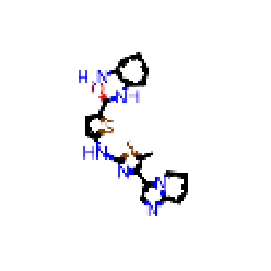 Cc1sc(Nc2ccc(C(=O)Nc3ccccc3N)s2)nc1-c1cnc2ccccn12